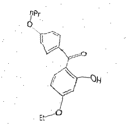 CCCOc1ccc(C(=O)c2ccc(OCC)cc2O)cc1